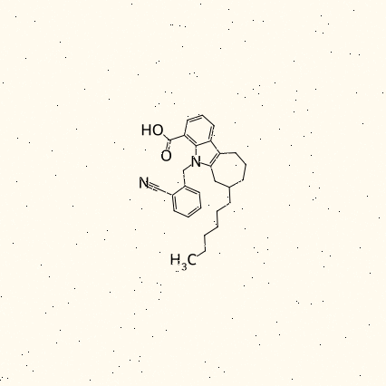 CCCCCCC1CCCc2c(n(Cc3ccccc3C#N)c3c(C(=O)O)cccc23)C1